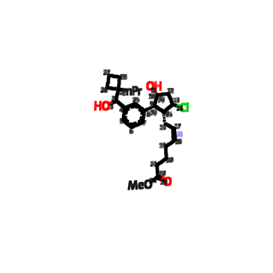 CCCC1(C(O)c2cccc([C@H]3[C@H](O)CC(Cl)[C@@H]3C/C=C\CCCC(=O)OC)c2)CCC1